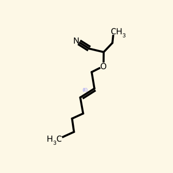 CCCC/C=C/COC(C#N)CC